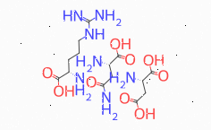 N=C(N)NCCC[C@H](N)C(=O)O.NC(=O)C[C@H](N)C(=O)O.N[C@@H](CC(=O)O)C(=O)O